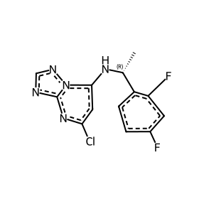 C[C@@H](Nc1cc(Cl)nc2ncnn12)c1ccc(F)cc1F